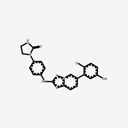 O=C1NCCN1c1ccc(Nc2nc3ccc(-c4cc(O)ccc4Cl)cn3n2)cc1